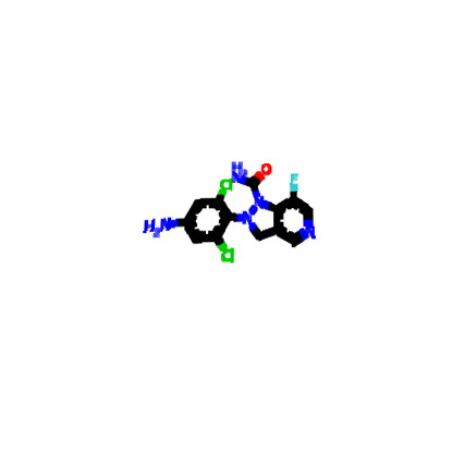 NC(=O)N1c2c([c]ncc2F)CN1c1c(Cl)cc(N)cc1Cl